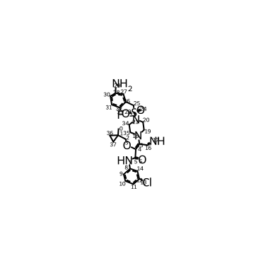 CC1(CO/C(C(=O)Nc2cccc(Cl)c2)=C(/C=N)N2CCN(S(=O)(=O)Cc3cc(N)ccc3F)CC2)CC1